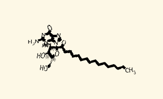 CCCCCCCCCCCCCCCC(=O)[C@@]1(n2cnc3c(=O)nc(N)n(N)c32)O[C@H](CO)[C@@H](O)[C@H]1O